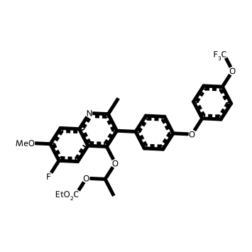 CCOC(=O)OC(C)Oc1c(-c2ccc(Oc3ccc(OC(F)(F)F)cc3)cc2)c(C)nc2cc(OC)c(F)cc12